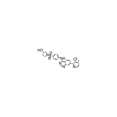 O=S(=O)(c1ccc(Nc2ncnc3cc(-c4ncccc4C(F)(F)F)ccc23)cc1)N1CCC(O)C1